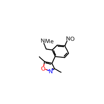 CNCc1cc(N=O)ccc1-c1c(C)noc1C